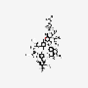 CC1COc2ccccc2N1C(=O)C(Cl)Cl.CCc1ccc(COc2ccc(-n3c(=O)cc(C(F)(F)F)n(C)c3=O)cc2)c(OC(C)C(=O)OC)c1.CCc1cccc(C)c1N(C(=O)CCl)C(C)COC.C[S+](C)C.O=C(O)CNCP(=O)([O-])O